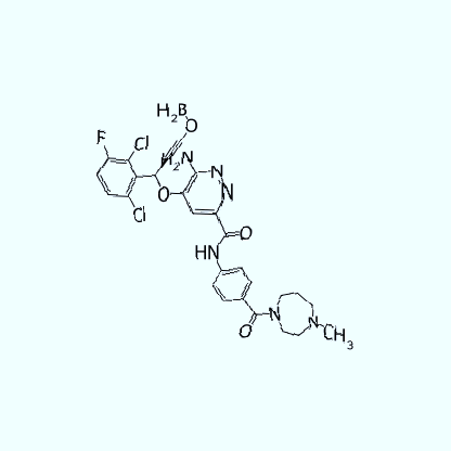 BOC#C[C@@H](Oc1cc(C(=O)Nc2ccc(C(=O)N3CCCN(C)CC3)cc2)nnc1N)c1c(Cl)ccc(F)c1Cl